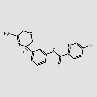 C[C@@]1(c2cccc(NC(=O)c3ccc(Cl)cn3)c2)COCC(N)=N1